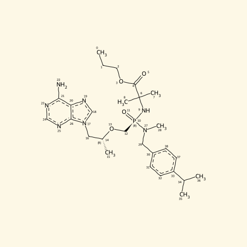 CCCOC(=O)C(C)(C)N[P@](=O)(CO[C@H](C)Cn1cnc2c(N)ncnc21)N(C)Cc1ccc(C(C)C)cc1